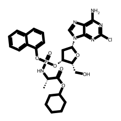 C[C@H](NP(=O)(Oc1cccc2ccccc12)O[C@@H]1C[C@H](n2cnc3c(N)nc(Cl)nc32)O[C@@H]1CO)C(=O)OC1CCCCC1